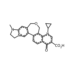 CN1CC[n+]2cc3c(cc21)COCc1c-3ccc2c(=O)c(C(=O)O)cn(C3CC3)c12